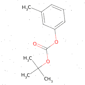 Cc1c[c]cc(OC(=O)OC(C)(C)C)c1